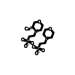 O=S(=O)([O-])CCN1CCOCC1.O=S(=O)([O-])CCN1CCOCC1.[Ca+2]